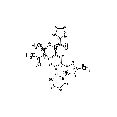 CC(=O)N1c2ccc(C3CN(C)CN3C3CCCCC3)cc2N(C(=O)C2CCCO2)C[C@@H]1C